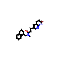 CN(Cc1cccc2ccccc12)C(=O)/C=C/c1cnc2c(c1)CCC(=O)N2